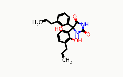 C=CCc1cccc(C2(c3cccc(CC=C)c3O)NC(=O)NC2=O)c1O